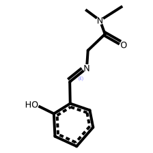 CN(C)C(=O)C/N=C/c1ccccc1O